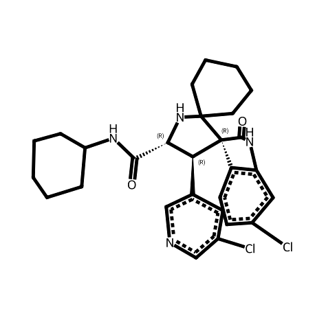 O=C(NC1CCCCC1)[C@@H]1NC2(CCCCC2)[C@@]2(C(=O)Nc3cc(Cl)ccc32)[C@H]1c1cncc(Cl)c1